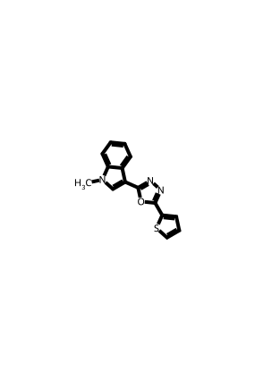 Cn1cc(-c2nnc(-c3cccs3)o2)c2ccccc21